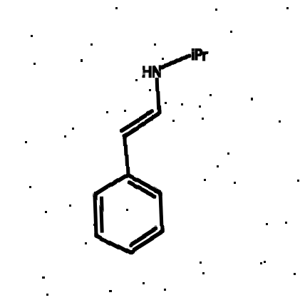 CC(C)NC=Cc1ccccc1